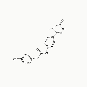 CC1CC(=O)NN=C1c1ccc(NC(=O)Oc2ccc(Cl)cc2)cc1